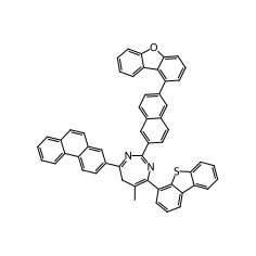 CC1=C(c2cccc3c2sc2ccccc23)N=C(c2ccc3cc(-c4cccc5oc6ccccc6c45)ccc3c2)N=C(c2ccc3c(ccc4ccccc43)c2)C1